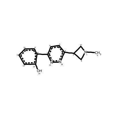 CN1CC(c2ccc(-c3ccccc3O)nn2)C1